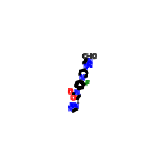 O=Cc1cn(C2CCN(c3ccc(N4C[C@H](Cn5ccnn5)OC4=O)cc3F)CC2)nn1